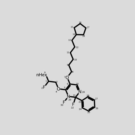 CCCCCCC(F)COC1=C(OCCCCCCC2CCCC2)C=NC(F)(c2ccccc2)N1F